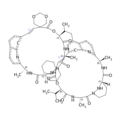 CC(Cc1cc2cc3nc(ccc13)[C@@H](C)NC(=O)[C@@H]1CCCN(N1)C(=O)[C@H](C)NC(=O)[C@@H](C(C)C)OC(=O)C1(/C=C/2)CCCCC1)[C@@H]1OC(=O)C2(/C=C/c3ccc4ccc(nc4c3)[C@@H](C)NC(=O)[C@@H]3CCCN(N3)C(=O)[C@H](C)NC1=O)COCOC2